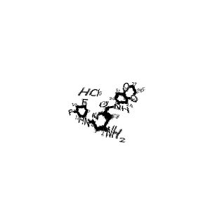 Cl.Nc1cc(Nc2cc(F)cc(F)c2)nc(C(=O)Nc2ccc3c(c2)OCCO3)c1